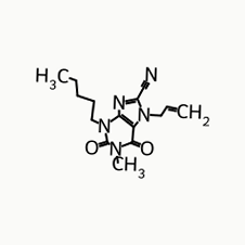 C=CCn1c(C#N)nc2c1c(=O)n(C)c(=O)n2CCCCC